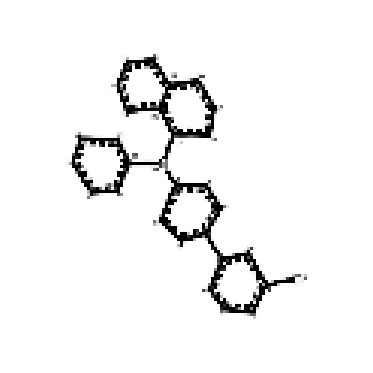 Clc1cccc(-c2ccc(N(c3ccccc3)c3cccc4ccccc34)cc2)c1